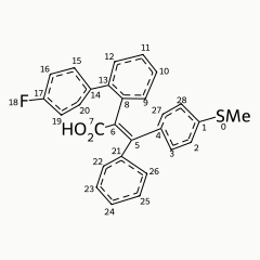 CSc1ccc(C(=C(C(=O)O)c2ccccc2-c2ccc(F)cc2)c2ccccc2)cc1